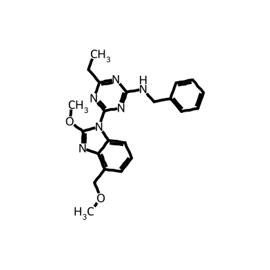 CCc1nc(NCc2ccccc2)nc(-n2c(OC)nc3c(COC)cccc32)n1